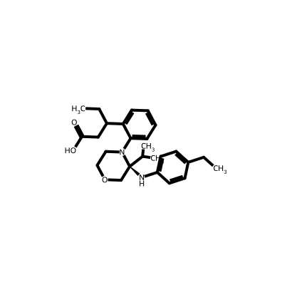 CCc1ccc(N[C@@]2(C(C)C)COCCN2c2ccccc2C(CC)CC(=O)O)cc1